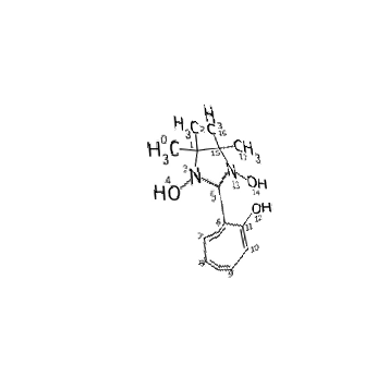 CC1(C)N(O)C(c2ccccc2O)N(O)C1(C)C